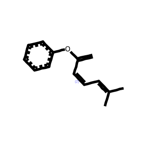 C=C(/C=C\C=C(C)C)Oc1ccccc1